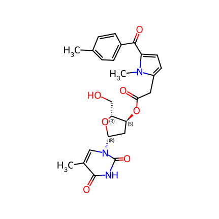 Cc1ccc(C(=O)c2ccc(CC(=O)O[C@H]3C[C@H](n4cc(C)c(=O)[nH]c4=O)O[C@@H]3CO)n2C)cc1